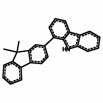 CC1(C)c2ccccc2-c2ccc(-c3cccc4c3[nH]c3ccccc34)cc21